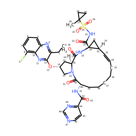 CCc1nc2cccc(F)c2nc1O[C@@H]1C[C@H]2C(=O)N[C@]3(C(=O)NS(=O)(=O)C4(C)CC4)C[C@H]3/C=C\CCCCC[C@H](NC(=O)c3ccncn3)C(=O)N2C1